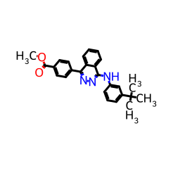 COC(=O)c1ccc(-c2nnc(Nc3cccc(C(C)(C)C)c3)c3ccccc23)cc1